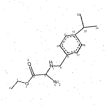 CCOC(=O)C(N)NCc1ccc(C(C)C)cc1